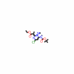 C=NN1C(N(C)C(=O)OC(C)(C)C)=CC(Cl)=N/C1=C(/C)C(=O)OCC